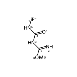 COC(=N)NC(=O)NC(C)C